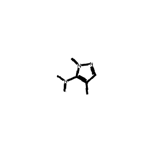 Cc1cnn(C)c1N(C)C